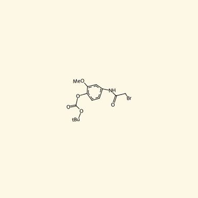 COc1cc(NC(=O)CBr)ccc1OC(=O)OC(C)(C)C